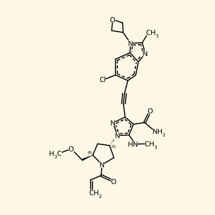 C=CC(=O)N1C[C@@H](n2nc(C#Cc3cc4nc(C)n(C5COC5)c4cc3Cl)c(C(N)=O)c2NC)C[C@@H]1COC